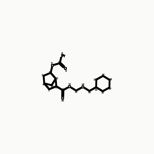 CC(C)C(=O)OC1CC2CC(C(=O)OCOCC3CCCCC3)C1C2